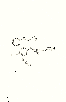 C=CC(=O)O.Cc1ccc(N=C=O)cc1N=C=O.c1ccc(OCC2CO2)cc1